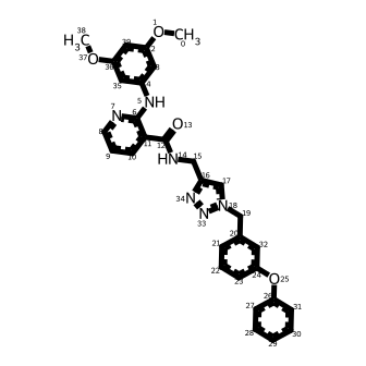 COc1cc(Nc2ncccc2C(=O)NCc2cn(Cc3cccc(Oc4ccccc4)c3)nn2)cc(OC)c1